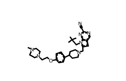 CN1CCN(CCOc2ccc(C3CCN(Cc4cc5cnc(C#N)nc5n4CC(C)(C)C)CC3)cc2)CC1